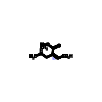 COC(=O)/C(=C\C(=O)O)C[SiH](C)C